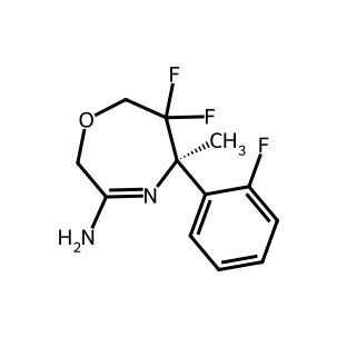 C[C@]1(c2ccccc2F)N=C(N)COCC1(F)F